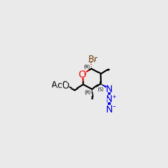 CC(=O)OCC1O[C@H](Br)C(C)[C@@H](N=[N+]=[N-])[C@H]1C